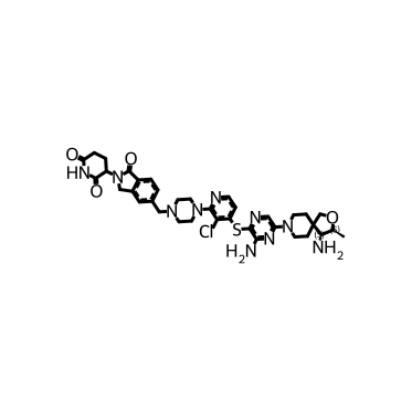 C[C@@H]1OCC2(CCN(c3cnc(Sc4ccnc(N5CCN(Cc6ccc7c(c6)CN(C6CCC(=O)NC6=O)C7=O)CC5)c4Cl)c(N)n3)CC2)[C@@H]1N